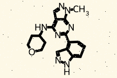 Cn1ncc2c(NC3CCOCC3)nc(-c3cccc4[nH]ncc34)nc21